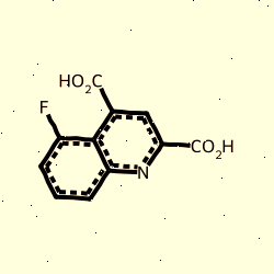 O=C(O)c1cc(C(=O)O)c2c(F)cccc2n1